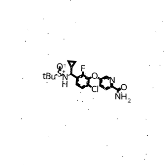 CC(C)(C)[S@@+]([O-])N[C@@H](c1ccc(Cl)c(Oc2ccc(C(N)=O)nc2)c1F)C1CC1